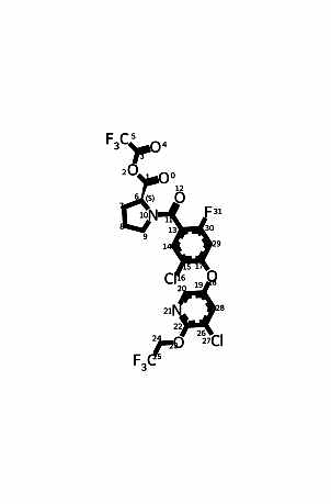 O=C(OC(=O)C(F)(F)F)[C@@H]1CCCN1C(=O)c1cc(Cl)c(Oc2cnc(OCC(F)(F)F)c(Cl)c2)cc1F